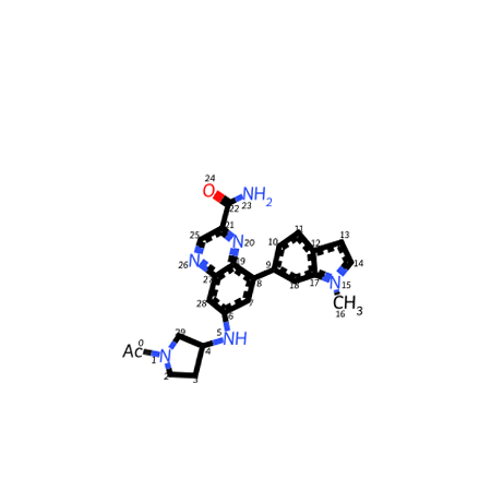 CC(=O)N1CCC(Nc2cc(-c3ccc4ccn(C)c4c3)c3nc(C(N)=O)cnc3c2)C1